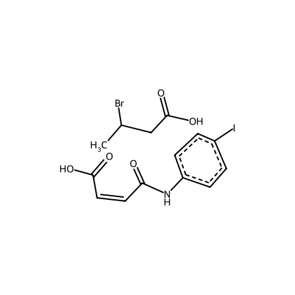 CC(Br)CC(=O)O.O=C(O)/C=C\C(=O)Nc1ccc(I)cc1